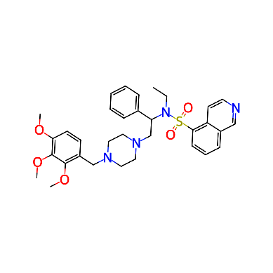 CCN(C(CN1CCN(Cc2ccc(OC)c(OC)c2OC)CC1)c1ccccc1)S(=O)(=O)c1cccc2cnccc12